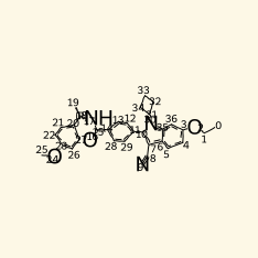 CCOc1ccc2c(C#N)c(-c3ccc(C(=O)N[C@H](C)c4ccc(OC)cc4)cc3)n(C3CCC3)c2c1